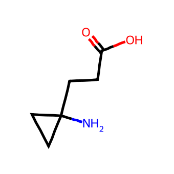 NC1(CCC(=O)O)CC1